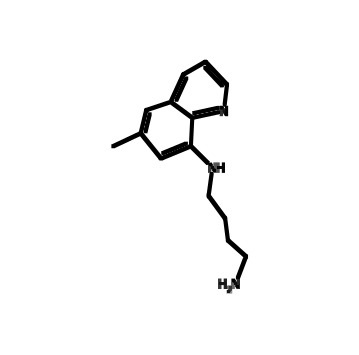 Cc1cc(NCCCCN)c2ncccc2c1